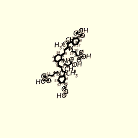 CC1(C)C(/C=C/C2=C(NCCC(=O)O)C(=C/C=C3\N(CCCS(=O)(=O)O)c4ccc(S(=O)(=O)O)cc4C3(C)C)/CCC2)=[N+](CCCS(=O)(=O)O)c2ccc(SOOO)cc21